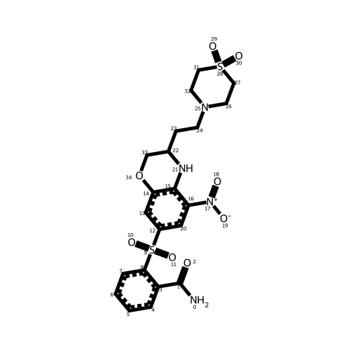 NC(=O)c1ccccc1S(=O)(=O)c1cc2c(c([N+](=O)[O-])c1)NC(CCN1CCS(=O)(=O)CC1)CO2